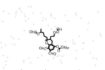 COC(=O)Oc1cc(C=O)c(C=O)c2c1CC(CCOOO)C(C)(CCCC(C)OC=O)O2